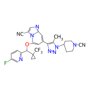 Cc1c(-c2cc(OC(c3ccc(F)cn3)C3(C(F)(F)F)CC3)n3c(C#N)cnc3c2)nnn1C1CCN(C#N)CC1